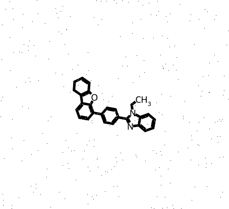 CCn1c(-c2ccc(-c3cccc4c5c(oc34)C=CCC5)cc2)nc2ccccc21